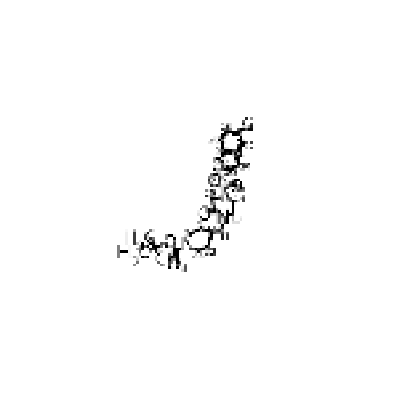 CC(C)(C)OC(=O)N1CCC(CN2CCN(S(=O)(=O)c3cc4cc(Cl)ccc4o3)CC2=O)CC1